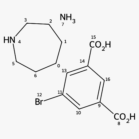 C1CCCNCC1.N.O=C(O)c1cc(Br)cc(C(=O)O)c1